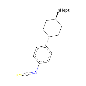 CCCCCCC[C@H]1CC[C@H](c2ccc(N=C=S)cc2)CC1